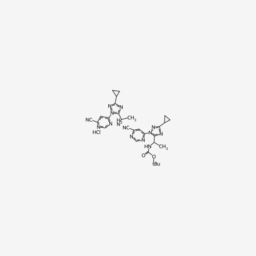 CC(N)c1nc(C2CC2)nn1-c1cc(C#N)ncn1.CC(NC(=O)OC(C)(C)C)c1nc(C2CC2)nn1-c1cc(C#N)ncn1.Cl